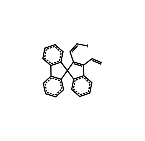 C=CC1=C(/C=C\I)C2(c3ccccc31)c1ccccc1-c1ccccc12